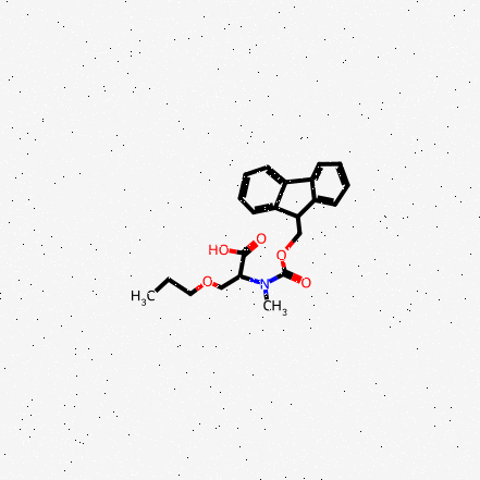 CCCOCC(C(=O)O)N(C)C(=O)OCC1c2ccccc2-c2ccccc21